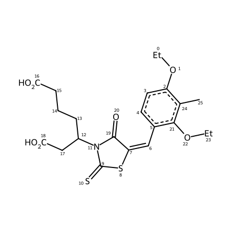 CCOc1ccc(C=C2SC(=S)N(C(CCCC(=O)O)CC(=O)O)C2=O)c(OCC)c1C